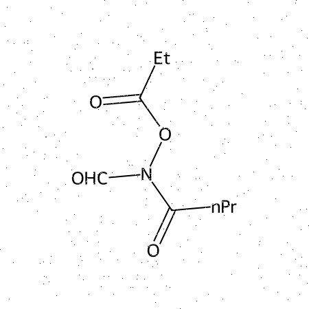 CCCC(=O)N(C=O)OC(=O)CC